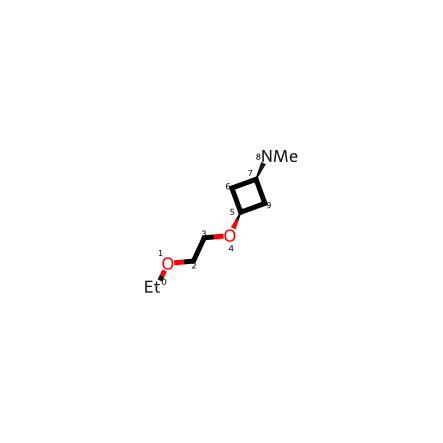 CCOCCO[C@H]1C[C@@H](NC)C1